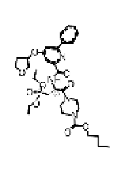 CCCCOC(=O)N1CCN(C(=O)[C@H](CP(=O)(OCC)OCC)NC(=O)c2cc(OC3CCOC3)cc(-c3ccccc3)n2)CC1